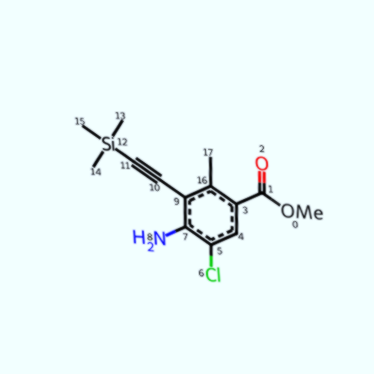 COC(=O)c1cc(Cl)c(N)c(C#C[Si](C)(C)C)c1C